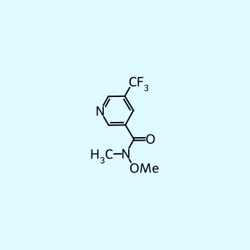 CON(C)C(=O)c1cncc(C(F)(F)F)c1